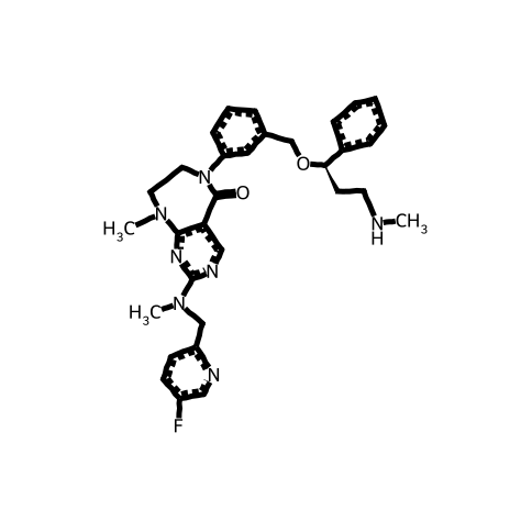 CNCC[C@@H](OCc1cccc(N2CCN(C)c3nc(N(C)Cc4ccc(F)cn4)ncc3C2=O)c1)c1ccccc1